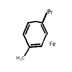 Cc1ccc(C(C)C)cc1.[Fe]